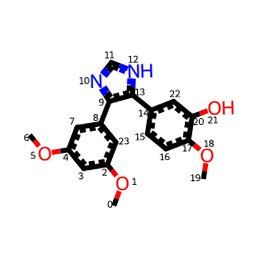 COc1cc(OC)cc(-c2nc[nH]c2-c2ccc(OC)c(O)c2)c1